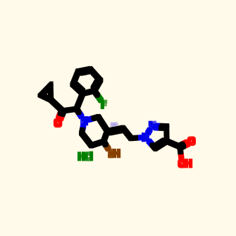 Cl.O=C(O)c1cnn(C/C=C2/CN(C(C(=O)C3CC3)c3ccccc3F)CCC2S)c1